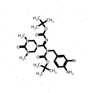 CN1CN(/C(=N\C(=O)OC(C)(C)C)N(Cc2ccc(N)c(Br)c2)C(=O)OC(C)(C)C)CN(C)C1=O